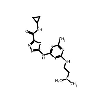 Cc1nc(NCCN(C)C)nc(Nc2nnc(C(=O)NC3CC3)o2)n1